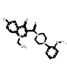 CCn1cc(C(=O)N2CCN(c3ccccc3OC)CC2)c(=O)c2cc(C)ccc21